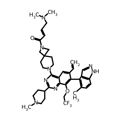 C=Cc1cc2c(N3CCC4(CC3)CN(C(=O)/C=C/CN(C)C)C4)nc(C3CCN(C)CC3)nc2c(OCC(F)(F)F)c1-c1c(C)ccc2[nH]ncc12